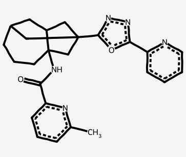 Cc1cccc(C(=O)NC23CCCC4CC2CC(c2nnc(-c5ccccn5)o2)(C4)C3)n1